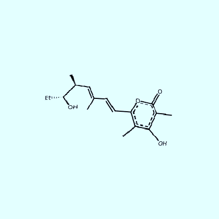 CC[C@@H](O)[C@@H](C)/C=C(C)/C=C/c1oc(=O)c(C)c(O)c1C